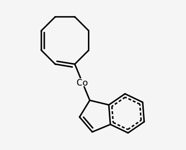 C1=CCCCC[C]([Co][CH]2C=Cc3ccccc32)=C1